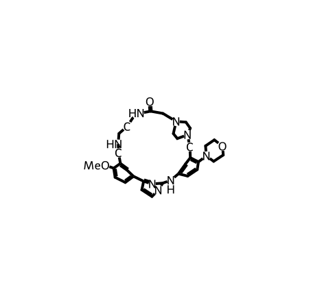 COc1ccc2cc1CNCCCNC(=O)CN1CCN(CC1)Cc1cc(ccc1N1CCOCC1)Nc1nccc-2n1